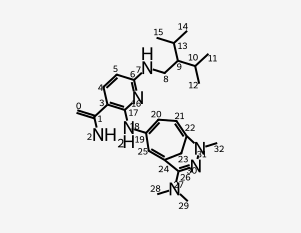 C=C(N)c1ccc(NCC(C(C)C)C(C)C)nc1NC1=CC=C2CC(=C1)C(N(C)C)=NN2C